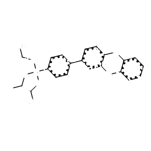 CCO[Si](OCC)(OCC)c1ccc(-c2ccc3c(c2)Sc2ccccc2O3)cc1